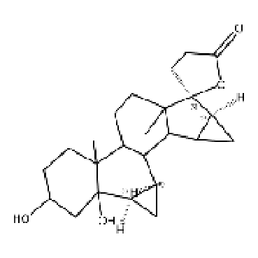 CC12CCC(O)CC1(O)[C@@H]1C[C@@H]1C1C2CCC2(C)C1C1C[C@@H]1[C@@]21CCC(=O)O1